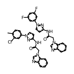 Cc1ccc(-n2ccc(NC(=O)Cn3cnc4ccccc43)n2)cc1Cl.O=C(Cn1cnc2ccccc21)Nc1ccn(-c2cc(F)cc(F)c2)n1